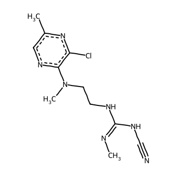 CN=C(NC#N)NCCN(C)c1ncc(C)nc1Cl